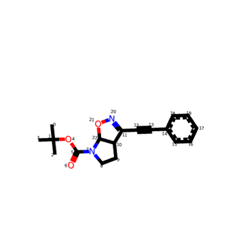 CC(C)(C)OC(=O)N1CCC2C(C#Cc3ccccc3)=NOC21